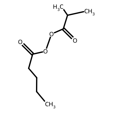 CCCCC(=O)OOC(=O)C(C)C